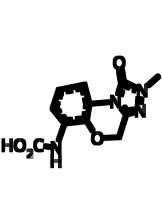 Cn1nc2n(c1=O)-c1cccc(NC(=O)O)c1OC2